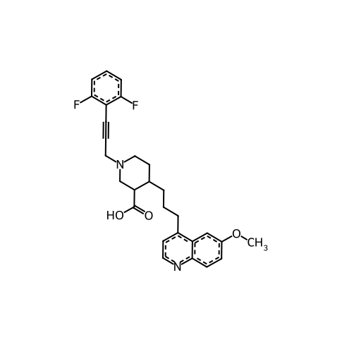 COc1ccc2nccc(CCCC3CCN(CC#Cc4c(F)cccc4F)CC3C(=O)O)c2c1